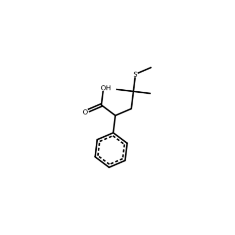 CSC(C)(C)CC(C(=O)O)c1ccccc1